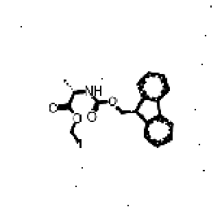 C[C@H](NC(=O)OCC1c2ccccc2-c2ccccc21)C(=O)OCI